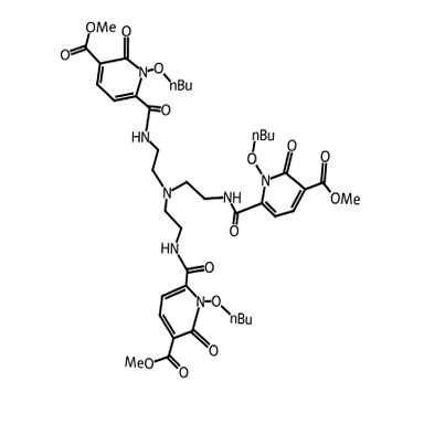 CCCCOn1c(C(=O)NCCN(CCNC(=O)c2ccc(C(=O)OC)c(=O)n2OCCCC)CCNC(=O)c2ccc(C(=O)OC)c(=O)n2OCCCC)ccc(C(=O)OC)c1=O